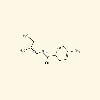 C=C/C(C)=C\N=C(/C)C1C=CC(C)=CC1